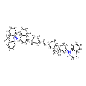 CC1(C)c2c#cccc2N(c2ccc(-c3ccc(/C=C/c4ccc5c(c4)C(C)(C)c4cc(N6C=CCc7ccccc76)ccc4-5)cc3)c3ccccc23)c2ccccc21